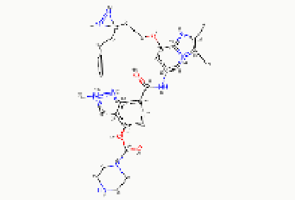 C#CCCC1(CCOc2cc(NC(=O)c3ccc(OC(=O)N4CCNCC4)c4cn(C)nc34)cn3c(C)c(C)nc23)N=N1